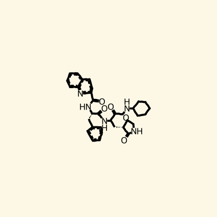 O=C(NC1CCCCC1)C(=O)C(C[C@@H]1CCNC1=O)NC(=O)[C@H](Cc1ccccc1)NC(=O)c1ccc2ccccc2n1